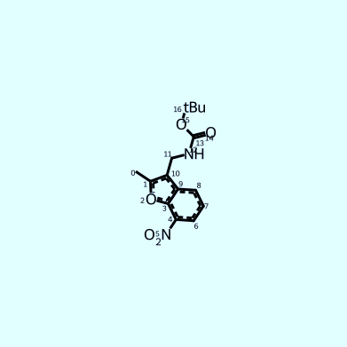 Cc1oc2c([N+](=O)[O-])cccc2c1CNC(=O)OC(C)(C)C